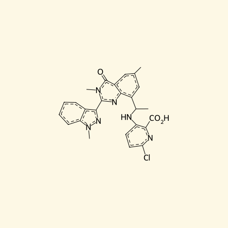 Cc1cc(C(C)Nc2ccc(Cl)nc2C(=O)O)c2nc(-c3nn(C)c4ccccc34)n(C)c(=O)c2c1